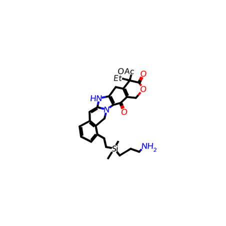 CCC1(OC(C)=O)C(=O)OCC2=C1CC1=C(C2=O)N2Cc3c(cccc3CC[Si](C)(C)CCCN)C=C2N1